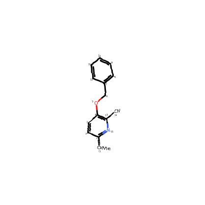 COc1ccc(OCc2ccccc2)c(C#N)n1